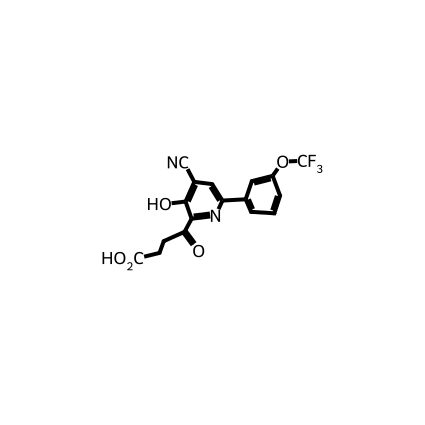 N#Cc1cc(-c2cccc(OC(F)(F)F)c2)nc(C(=O)CCC(=O)O)c1O